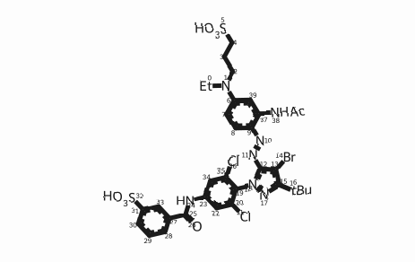 CCN(CCCS(=O)(=O)O)c1ccc(/N=N/c2c(Br)c(C(C)(C)C)nn2-c2c(Cl)cc(NC(=O)c3cccc(S(=O)(=O)O)c3)cc2Cl)c(NC(C)=O)c1